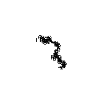 CN(CC1CCC(n2cc(NC(=O)c3coc(-c4ccnc(N(C)C5CC5)c4)n3)c(C(F)F)n2)CC1)CC1CCN(CCC#Cc2cccc3c2n(C)c(=O)n3C2CCC(=O)NC2=O)CC1